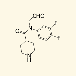 O=CCN(C(=O)C1CCNCC1)c1ccc(F)c(F)c1